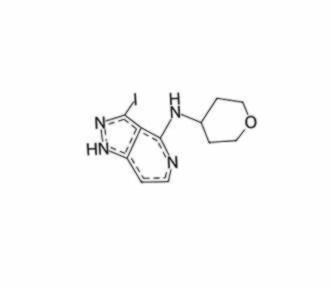 Ic1n[nH]c2ccnc(NC3CCOCC3)c12